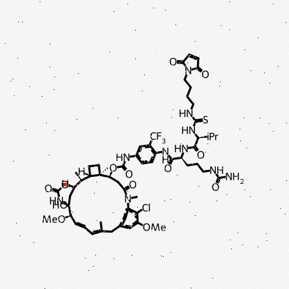 COc1cc2cc(c1Cl)N(C)C(=O)C[C@H](OC(=O)Nc1ccc(NC(=O)[C@H](CCCNC(N)=O)NC(=O)[C@@H](NC(=S)NCCCCN3C(=O)C=CC3=O)C(C)C)c(C(F)(F)F)c1)[C@]1(C)CC[C@H]1[C@H](C)[C@@H]1C[C@@](O)(NC(=O)O1)[C@H](OC)/C=C/C=C(\C)C2